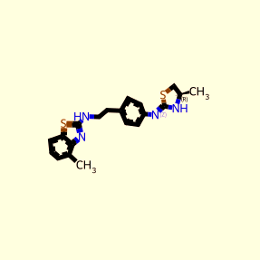 Cc1cccc2sc(NCCc3ccc(/N=C4/N[C@H](C)CS4)cc3)nc12